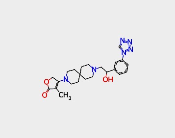 CC1=C(N2CCC3(CCN(CC(O)c4cccc(-n5cnnn5)c4)CC3)CC2)COC1=O